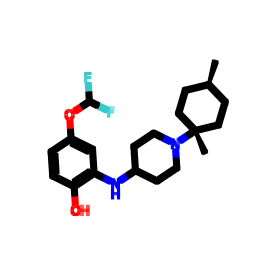 C[C@H]1CC[C@](C)(N2CCC(Nc3cc(OC(F)F)ccc3O)CC2)CC1